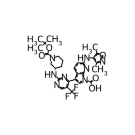 Cc1noc(C)c1Nc1ccc2c(-c3nc(N[C@H]4CCCN(C(=O)OC(C)(C)C)C4)ncc3C(F)(F)F)cn(C(=O)O)c2n1